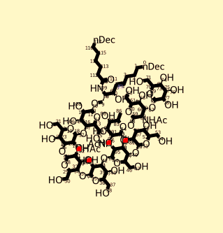 CCCCCCCCCCCCC/C=C/[C@@H](O)[C@H](CO[C@@H]1OC(CO)[C@@H](O[C@@H]2OC(CO)[C@H](O)[C@H](O[C@@H]3OC(CO)[C@@H](O[C@@H]4OC(CO)[C@H](O)[C@H](O[C@@H]5OC(CO)[C@@H](O[C@@H]6OC(CO)[C@H](O)[C@H](O[C@H]7OC(CO)[C@H](O)[C@H](O[C@@H]8OC(CO)[C@H](O)[C@H](O)C8O)C7NC(C)=O)C6O[C@H]6OC(C)[C@@H](O)C(O)[C@@H]6O)[C@H](O)C5NC(C)=O)C4O)[C@H](O)C3NC(C)=O)C2O)[C@H](O)C1O)NC(=O)CCCCCCCCCCCCCCC